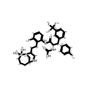 O=C(O)N[C@H](C(=O)Nc1cccc(F)c1CCC1CNC2CCCS(O)(O)N1C2)[C@@H](c1ccc(F)cc1)c1cccc(C(F)(F)F)c1